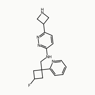 FC1CC(CNc2ccc(C3CNC3)nn2)(c2ccccn2)C1